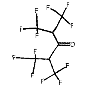 O=C(C(C(F)(F)F)C(F)(F)F)C(C(F)(F)F)C(F)(F)F